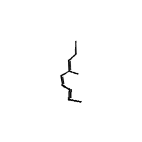 C/C=C/C=C\C(C)=C\CC